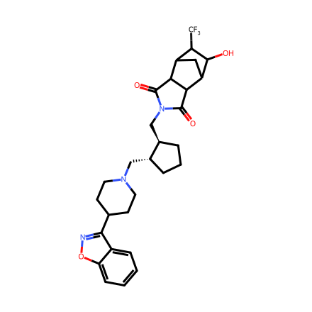 O=C1C2C3CC(C2C(=O)N1C[C@H]1CCC[C@@H]1CN1CCC(c2noc4ccccc24)CC1)C(C(F)(F)F)C3O